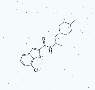 CC1CCC(CC(C)NC(=O)c2cc3cccc(Cl)c3s2)CC1